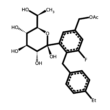 CCc1ccc(Cc2c(F)cc(COC(C)=O)cc2[C@@]2(O)O[C@H]([C@H](C)O)[C@@H](O)[C@H](O)[C@H]2O)cc1